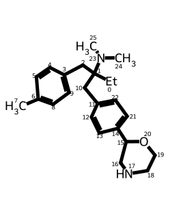 CCC(Cc1ccc(C)cc1)(Cc1ccc(C2CNCCO2)cc1)N(C)C